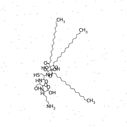 CCCCCCCCCCCCCCCC(=O)C(O)(C(=O)CCCCCCCCCCCCCCC)[C@](O)(C(=O)CCCCCCCCCCCCCCC)C(=O)NC(CS)C(=O)NC(CO)C(=O)NC(CCCCN)C(=O)O